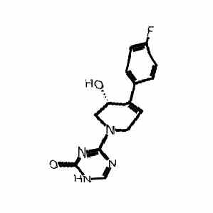 O=c1nc(N2CC=C(c3ccc(F)cc3)[C@@H](O)C2)nc[nH]1